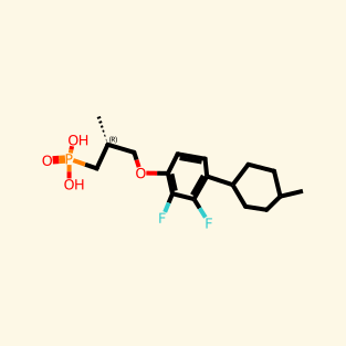 CC1CCC(c2ccc(OC[C@@H](C)CP(=O)(O)O)c(F)c2F)CC1